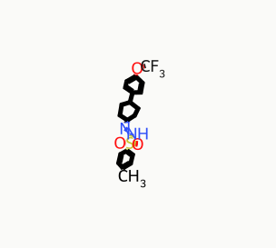 Cc1ccc(S(=O)(=O)NN=C2CCC(c3ccc(OC(F)(F)F)cc3)CC2)cc1